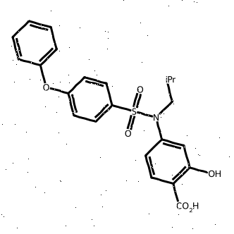 CC(C)CN(c1ccc(C(=O)O)c(O)c1)S(=O)(=O)c1ccc(Oc2ccccc2)cc1